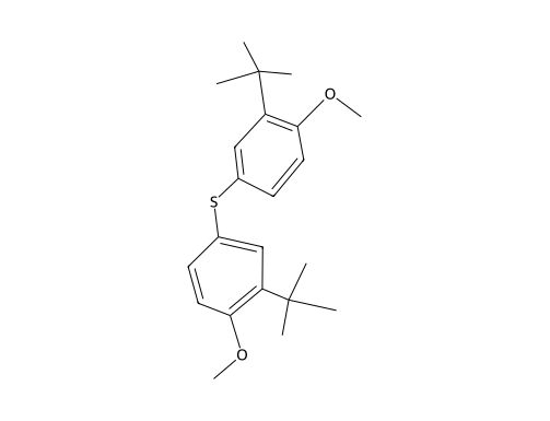 COc1ccc(Sc2ccc(OC)c(C(C)(C)C)c2)cc1C(C)(C)C